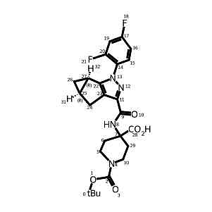 CC(C)(C)OC(=O)N1CCC(NC(=O)c2nn(-c3ccc(F)cc3F)c3c2C[C@H]2C[C@@H]32)(C(=O)O)CC1